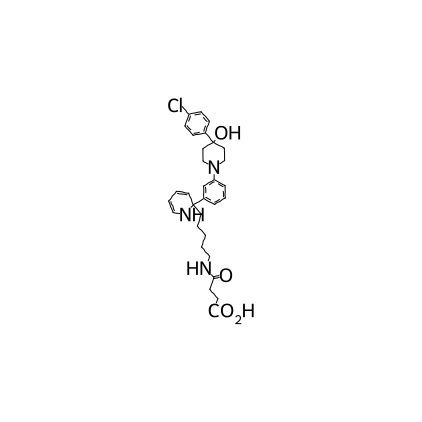 O=C(O)CCC(=O)NCCCCCC1(c2cccc(N3CCC(O)(c4ccc(Cl)cc4)CC3)c2)C=CC=CN1